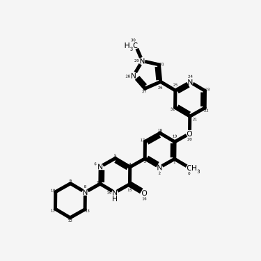 Cc1nc(-c2cnc(N3CCCCC3)[nH]c2=O)ccc1Oc1ccnc(-c2cnn(C)c2)c1